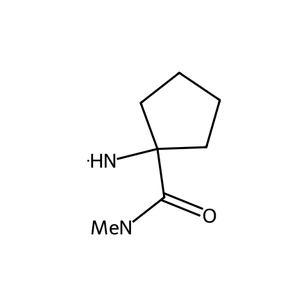 CNC(=O)C1([NH])CCCC1